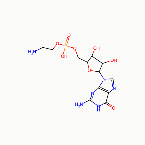 NCCOP(=O)(O)OCC1OC(n2cnc3c(=O)[nH]c(N)nc32)C(O)C1O